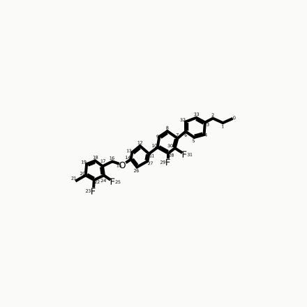 CCCc1ccc(-c2ccc(-c3ccc(OCc4ccc(C)c(F)c4F)cc3)c(F)c2F)cc1